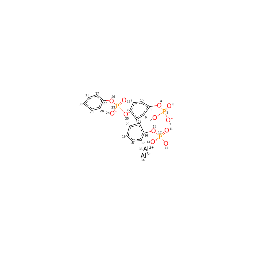 O=P([O-])([O-])Oc1ccccc1.O=P([O-])([O-])Oc1ccccc1.O=P([O-])([O-])Oc1ccccc1.[Al+3].[Al+3]